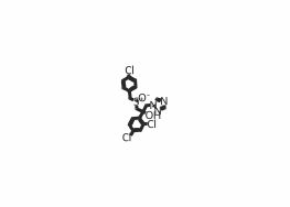 [O-][S+](Cc1ccc(Cl)cc1)CC(O)(Cn1cncn1)c1ccc(Cl)cc1Cl